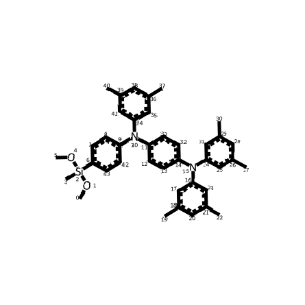 CO[Si](C)(OC)c1ccc(N(c2ccc(N(c3cc(C)cc(C)c3)c3cc(C)cc(C)c3)cc2)c2cc(C)cc(C)c2)cc1